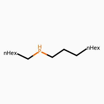 CCCCCCCCCPCCCCCCC